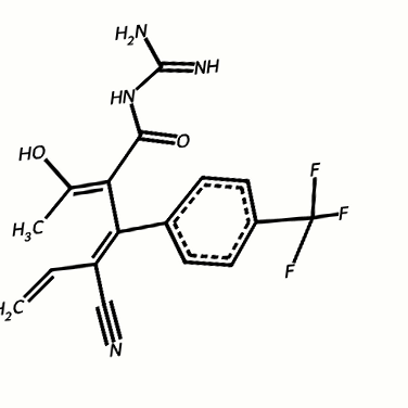 C=C/C(C#N)=C(\C(C(=O)NC(=N)N)=C(/C)O)c1ccc(C(F)(F)F)cc1